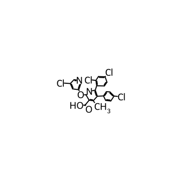 Cc1c(C(=O)O)c(Oc2cncc(Cl)c2)nc(-c2ccc(Cl)cc2Cl)c1-c1ccc(Cl)cc1